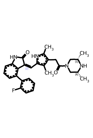 Cc1[nH]c(/C=C2\C(=O)Nc3cccc(-c4ccccc4F)c32)c(C)c1CC(=O)N1C[C@@H](C)N[C@@H](C)C1